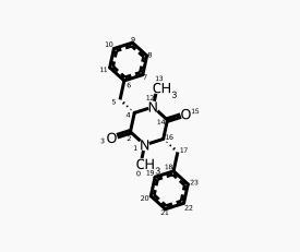 CN1C(=O)[C@H](Cc2ccccc2)N(C)C(=O)[C@@H]1Cc1ccccc1